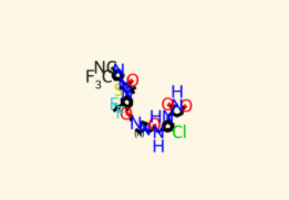 C[C@@H]1CN(CCOc2ccc(N3C(=S)N(c4cnc(C#N)c(C(F)(F)F)c4)C(=O)C3(C)C)cc2C(C)(F)F)CCN1CC(=O)Nc1cc(Cl)cc(NC2CCC(=O)NC2=O)c1